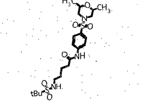 CC1CN(S(=O)(=O)c2ccc(NC(=O)CCCCNS(=O)(=O)C(C)(C)C)cc2)CC(C)O1